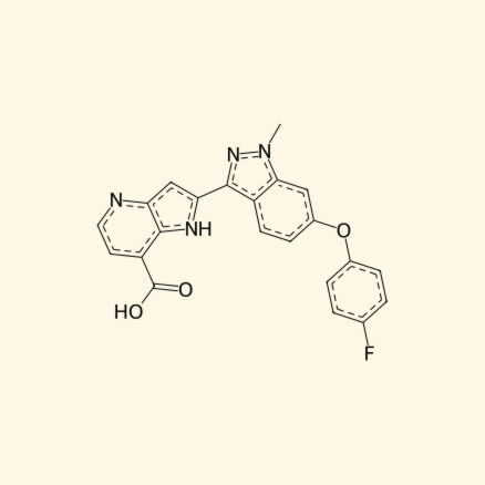 Cn1nc(-c2cc3nccc(C(=O)O)c3[nH]2)c2ccc(Oc3ccc(F)cc3)cc21